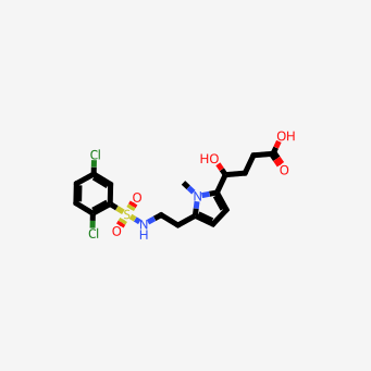 Cn1c(CCNS(=O)(=O)c2cc(Cl)ccc2Cl)ccc1C(O)CCC(=O)O